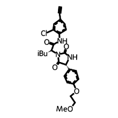 C#Cc1ccc(NC(=O)C([C@@H](C)CC)N2C(=O)N[C@H](c3ccc(OCCOC)cc3)C2=O)c(Cl)c1